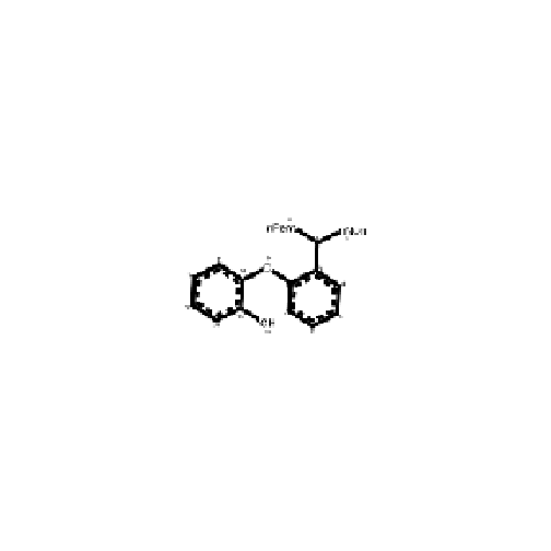 CCCCCCCCCC(CCCCC)c1ccccc1Oc1ccccc1O